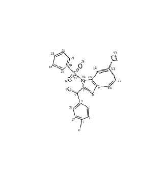 Cc1ccc(C(=O)c2cc3ccc(Cl)cc3n2S(=O)(=O)c2ccccc2)cc1